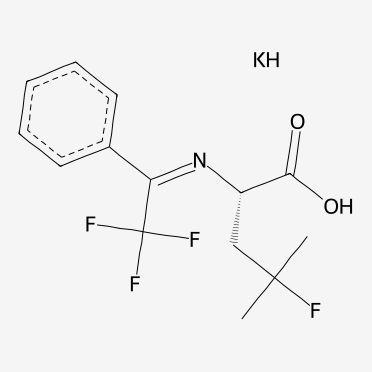 CC(C)(F)C[C@H](N=C(c1ccccc1)C(F)(F)F)C(=O)O.[KH]